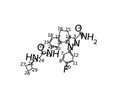 NC(=O)c1nn(-c2ccc(F)cc2)c2c1CCc1ccc(NC(=O)CNC3CCC3)cc1-2